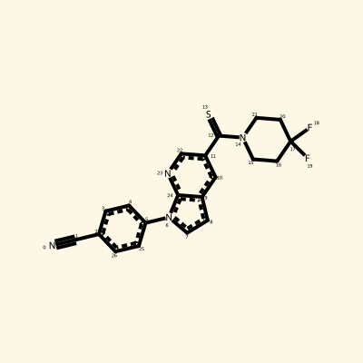 N#Cc1ccc(-n2ccc3cc(C(=S)N4CCC(F)(F)CC4)cnc32)cc1